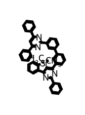 C[Si]1(C)c2ccccc2-c2nc(-c3ccccc3)nc(-c3cccc(-c4cccc(-c5nc(-c6ccccc6)cc(-c6ccccc6)n5)c4)c3)c21